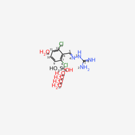 N=C(N)NN=Cc1c(Cl)cccc1Cl.O.O.O.O.O.O=S(=O)(O)O